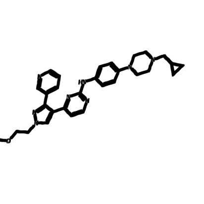 COCCn1cc(-c2ccnc(Nc3ccc(N4CCN(CC5CC5)CC4)cc3)n2)c(-c2cccnc2)n1